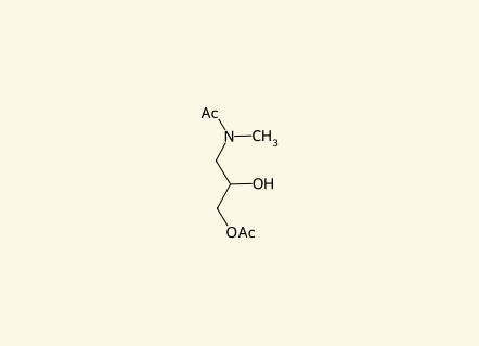 CC(=O)OCC(O)CN(C)C(C)=O